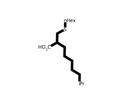 CCCCCCSCC(CCCCCC(C)C)C(=O)O